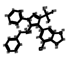 FC(F)(F)c1nn(-c2ncccn2)c(NCc2ccccc2)c1-c1cc(Cl)c2c(c1)OCO2